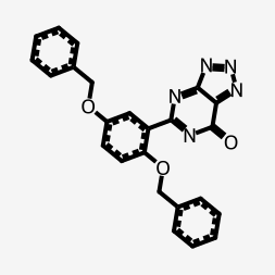 O=C1N=C(c2cc(OCc3ccccc3)ccc2OCc2ccccc2)N=C2N=NN=C12